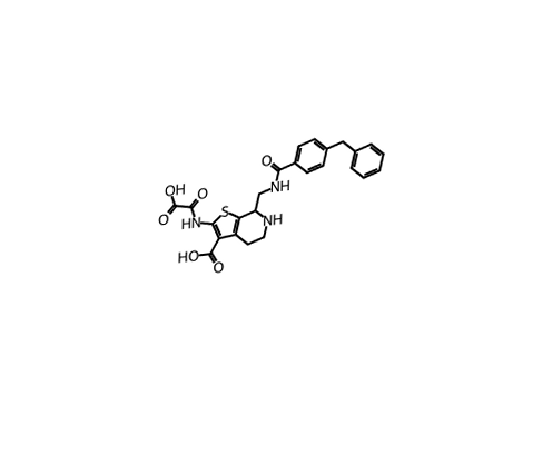 O=C(O)C(=O)Nc1sc2c(c1C(=O)O)CCNC2CNC(=O)c1ccc(Cc2ccccc2)cc1